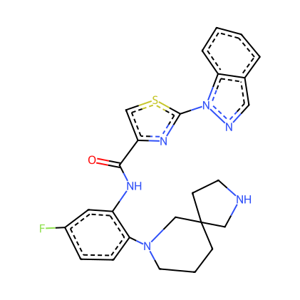 O=C(Nc1cc(F)ccc1N1CCCC2(CCNC2)C1)c1csc(-n2ncc3ccccc32)n1